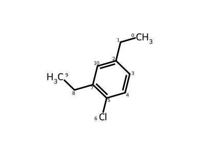 CCc1ccc(Cl)c(CC)c1